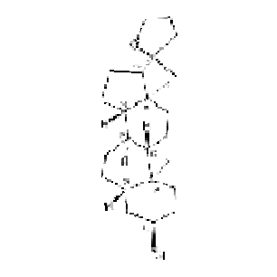 CC1([C@H]2CC[C@H]3[C@@H]4CC[C@H]5C[C@H](O)CC[C@]5(C)[C@H]4CC[C@]23C)CCCO1